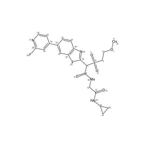 COCCS(=O)(=O)C(C(=O)NCC(=O)NC1CC1)c1nc2ccc(-c3ccnc(F)c3)cc2s1